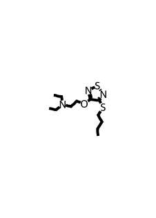 CCCCSc1nsnc1OCCN(CC)CC